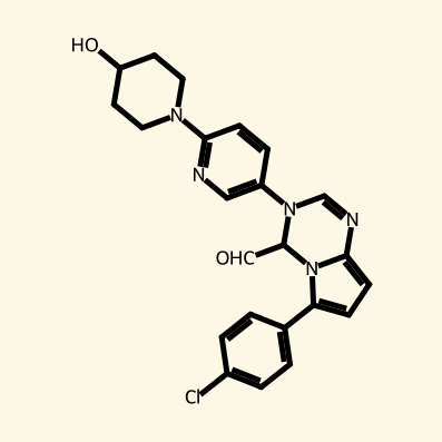 O=CC1N(c2ccc(N3CCC(O)CC3)nc2)C=Nc2ccc(-c3ccc(Cl)cc3)n21